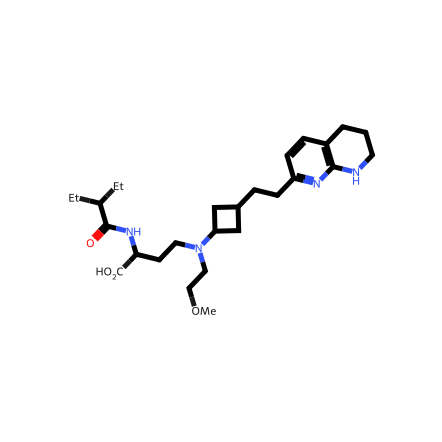 CCC(CC)C(=O)NC(CCN(CCOC)C1CC(CCc2ccc3c(n2)NCCC3)C1)C(=O)O